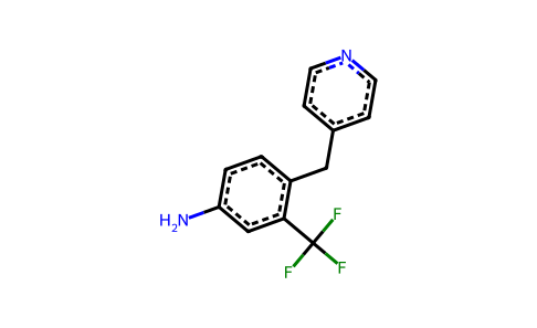 Nc1ccc(Cc2ccncc2)c(C(F)(F)F)c1